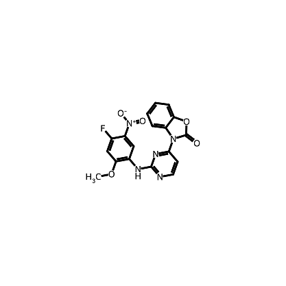 COc1cc(F)c([N+](=O)[O-])cc1Nc1nccc(-n2c(=O)oc3ccccc32)n1